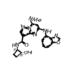 CNc1cc(Nc2cccc3ocnc23)nc2c(C(=O)N[C@@H]3CC[C@H]3O)cnn12